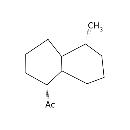 CC(=O)[C@@H]1CCCC2C1CCC[C@H]2C